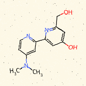 CN(C)c1ccnc(-c2cc(O)cc(CO)n2)c1